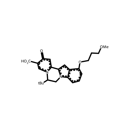 COCCCOc1cccc2c1cc1n2CC(C(C)(C)C)n2cc(C(=O)O)c(=O)cc2-1